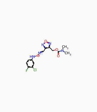 CN(C)C(=O)OCc1nonc1/C=N/ONc1ccc(F)c(Cl)c1